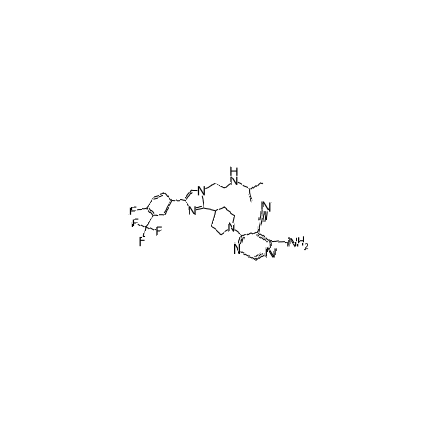 CC(C)NCCn1cc(-c2ccc(F)c(C(F)(F)F)c2)nc1C1CCN(c2ncnc(N)c2C#N)CC1